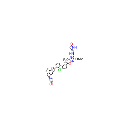 COc1nc(O[C@H]2CCc3c(-c4cccc(-c5cc6cc7c(c(C(F)(F)F)c6o5)CC[C@H]7N5CC[C@@H](O)C5)c4Cl)cccc32)c(C(F)(F)F)nc1CNC[C@H]1CCC(=O)N1